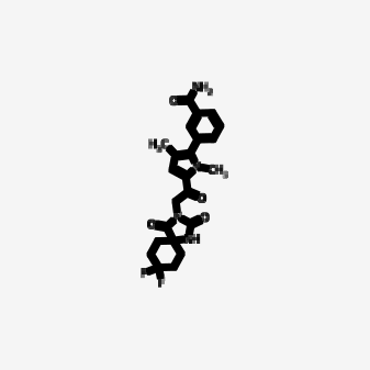 Cc1cc(C(=O)CN2C(=O)NC3(CCC(F)(F)CC3)C2=O)n(C)c1-c1cccc(C(N)=O)c1